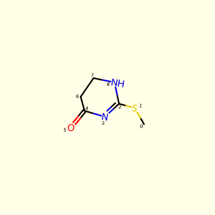 CSC1=NC(=O)CCN1